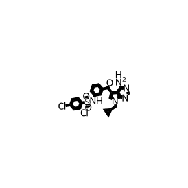 Nc1ncnc2c1c(C(=O)c1cccc(NS(=O)(=O)c3ccc(Cl)cc3Cl)c1)cn2CC1CC1